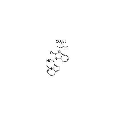 CCCC(CC(=O)OCC)n1c(=O)n(C(C#N)c2ccc3cccc(C)n23)c2ccccc21